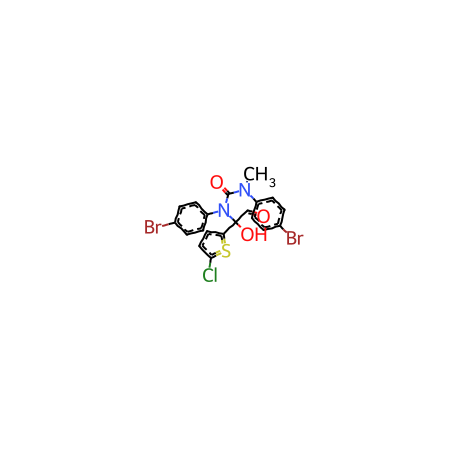 CN(C(=O)N(c1ccc(Br)cc1)C(O)(C=O)c1ccc(Cl)s1)c1ccc(Br)cc1